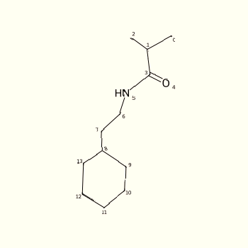 CC(C)C(=O)NCCC1CCCCC1